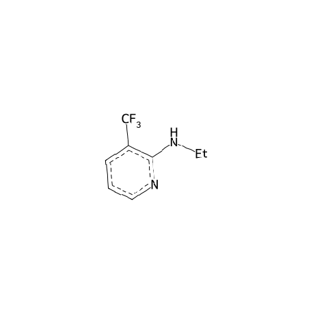 [CH2]CNc1ncccc1C(F)(F)F